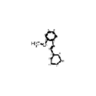 COc1ccccc1C=CC1CCCCC1